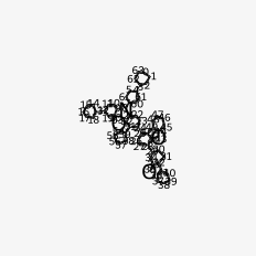 c1ccc(-c2ccc(N(c3ccc(-c4ccccc4)cc3)c3ccc(-c4ccc(-c5ccc6c(c5)oc5ccccc56)c5oc6ccccc6c45)c4c3oc3ccccc34)cc2)cc1